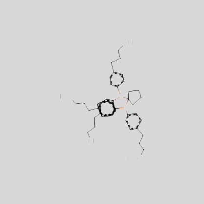 CCCCc1ccc(P(c2ccc(CCCC)cc2)C2(P(c3ccc(CCCC)cc3)c3ccc(CCCC)cc3)CCCC2)cc1